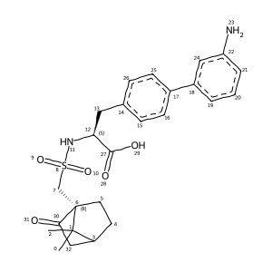 CC1(C)C2CC[C@]1(CS(=O)(=O)N[C@@H](Cc1ccc(-c3cccc(N)c3)cc1)C(=O)O)C(=O)C2